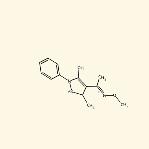 CO/N=C(\C)C1=C(O)N(c2ccccc2)NC1C